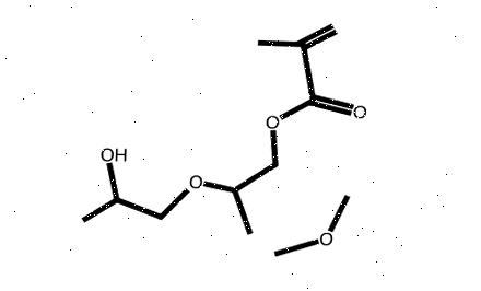 C=C(C)C(=O)OCC(C)OCC(C)O.COC